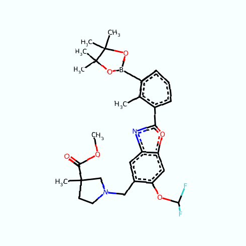 COC(=O)C1(C)CCN(Cc2cc3nc(-c4cccc(B5OC(C)(C)C(C)(C)O5)c4C)oc3cc2OC(F)F)C1